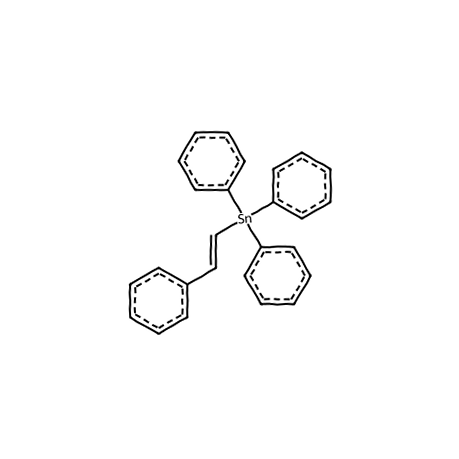 C(=[CH]\[Sn]([c]1ccccc1)([c]1ccccc1)[c]1ccccc1)/c1ccccc1